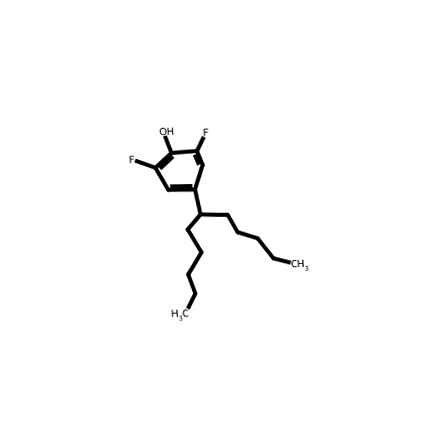 CCCCCC(CCCCC)c1cc(F)c(O)c(F)c1